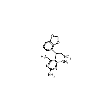 Nc1nc(N)c(C(C[N+](=O)[O-])c2cccc3c2OCO3)c(N)n1